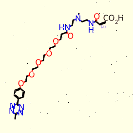 Cc1nnc(-c2ccc(OCCOCCOCCOCCOCCC(=O)NCCN(C)CCNC(=O)/C=C\C(=O)O)cc2)nn1